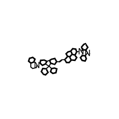 CN1c2ccccc2N(c2ccc3ccc4c(/C=C/c5ccc6c(c5)C(c5ccccc5)(c5ccccc5)c5cc(N7CCCc8ccccc87)ccc5-6)ccc5ccc2c3c54)c2ccccc21